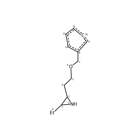 CCC1NC1CCOCc1ccccc1